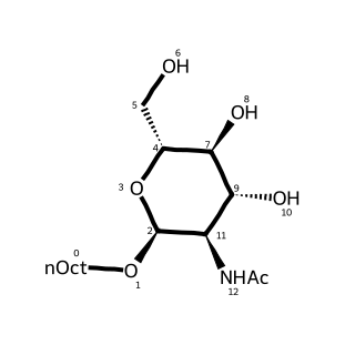 CCCCCCCCO[C@H]1O[C@H](CO)[C@@H](O)[C@H](O)[C@H]1NC(C)=O